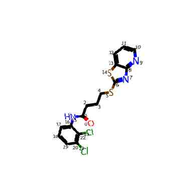 O=C(CCCSc1nc2ncccc2s1)Nc1cccc(Cl)c1Cl